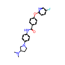 CN(C)C1CCN(c2ccc(NC(=O)c3ccc(Oc4ccc(F)cn4)cc3)cc2)C1